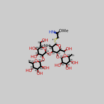 COC(=N)CS[C@@H]1OC(CO)[C@@H](O[C@@H]2OC(C)[C@@H](O)C(O)C2O)C(O[C@@H]2OC(CO)[C@H](O)C(O)C2O[C@@H]2OC(C)[C@@H](O)C(O)C2O)C1NC(C)=O